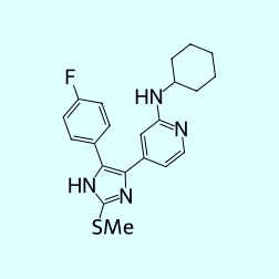 CSc1nc(-c2ccnc(NC3CCCCC3)c2)c(-c2ccc(F)cc2)[nH]1